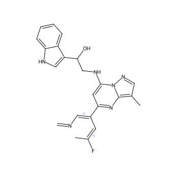 C=N/C=C(\C=C(/C)F)c1cc(NCC(O)c2c[nH]c3ccccc23)n2ncc(C)c2n1